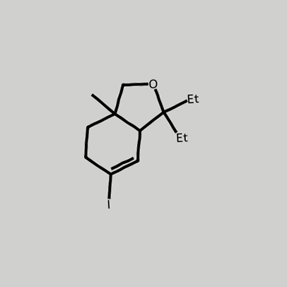 CCC1(CC)OCC2(C)CCC(I)=CC21